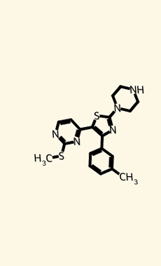 CSc1nccc(-c2sc(N3CCNCC3)nc2-c2cccc(C)c2)n1